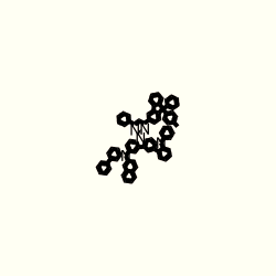 Cc1ccc(C2(c3ccccc3)c3ccccc3-c3cc(-c4cc(-c5ccccc5)nc(-n5c6ccc(N(c7cccc(-c8ccccc8)c7)c7ccc8ccccc8c7)cc6c6cc7c8ccccc8n(-c8ccccc8)c7cc65)n4)ccc32)cc1